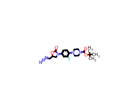 CC(C)(C)OC(=O)N1CCN(c2ccc(N3CC(CN=[N+]=[N-])OC3=O)cc2F)CC1